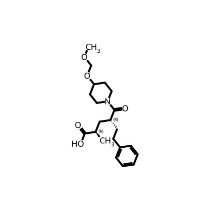 COCOC1CCN(C(=O)[C@H](CCc2ccccc2)C[C@@H](C)C(=O)O)CC1